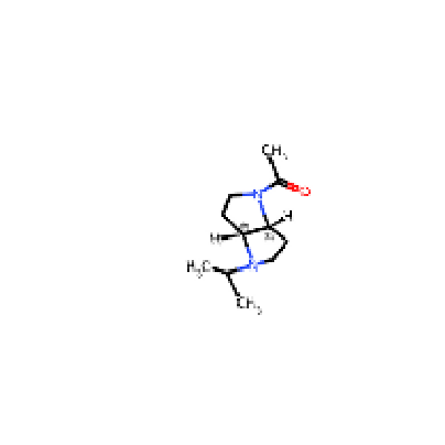 CC(=O)N1CC[C@@H]2[C@H]1CCN2C(C)C